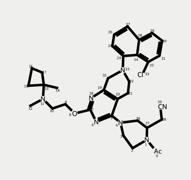 CC(=O)N1CCN(c2nc(OCCN(C)C3(C)CCC3)nc3c2CCN(c2cccc4cccc(Cl)c24)C3)CC1CC#N